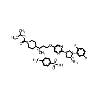 CC(C)OC(=O)N1CCC([C@H](C)CCOc2cnc(N3C[C@H](c4cc(F)ccc4F)[C@@H](N)C3)nc2)CC1.Cc1ccc(S(=O)(=O)O)cc1